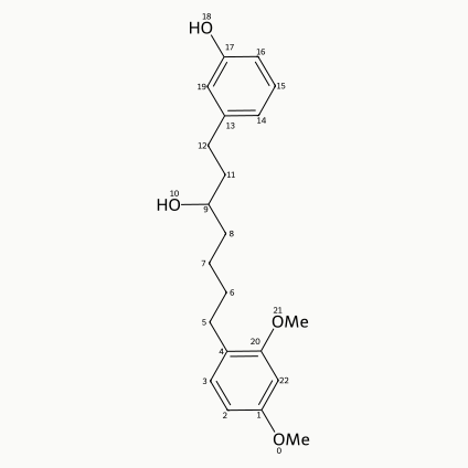 COc1ccc(CCCCC(O)CCc2cccc(O)c2)c(OC)c1